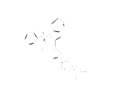 C[C@@H](NC(=O)[C@@H]1C[C@@H](OC(F)F)CN1)c1cc2cnccc2n1S(=O)(=O)c1ccccc1